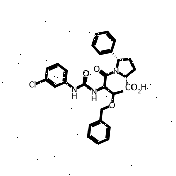 CC(OCc1ccccc1)C(NC(=O)Nc1cccc(Cl)c1)C(=O)N1[C@@H](C(=O)O)CC[C@H]1c1ccccc1